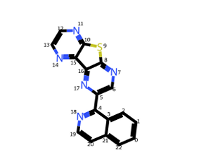 c1ccc2c(-c3cnc4sc5nccnc5c4n3)nccc2c1